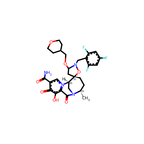 C[C@H]1CC[C@]2(CC(OCC3CCOCC3)N(Cc3c(F)cc(F)cc3F)O2)[C@H]2CN1C(=O)c1c(O)c(=O)c(C(N)=O)cn12